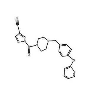 N#Cc1cnn(C(=O)N2CCN(Cc3ccc(Oc4ccccc4)cc3)CC2)c1